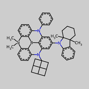 CC12CCCCC1(C)N(c1cc3c4c(c1)N(C15CC6CC7CC(C1)C765)c1cccc5c1B4c1c(cccc1[Si]5(C)C)N3c1ccccc1)c1ccccc12